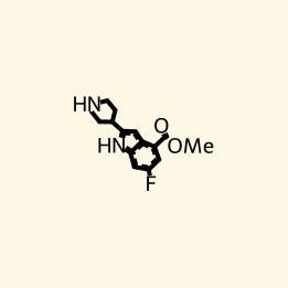 COC(=O)c1cc(F)cc2[nH]c(C3CCNCC3)cc12